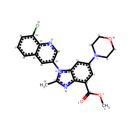 COC(=O)c1cc(N2CCOCC2)cc2c1nc(C)n2-c1cnc2c(Cl)cccc2c1